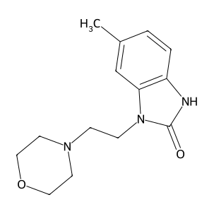 Cc1ccc2[nH]c(=O)n(CCN3CCOCC3)c2c1